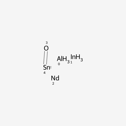 [AlH3].[InH3].[Nd].[O]=[Sn]